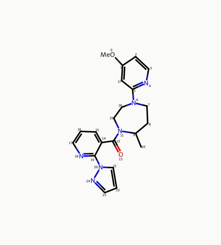 COc1ccnc(N2CCC(C)N(C(=O)c3cccnc3-n3cccn3)CC2)c1